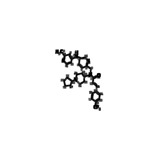 Cc1cc(Nc2ccc(CN(C(=O)C=Cc3ccc(C(F)(F)F)cc3)C3CCN(C4CCCC4)CC3)nc2)ccn1